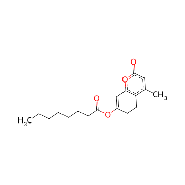 CCCCCCCC(=O)OC1=Cc2oc(=O)cc(C)c2CC1